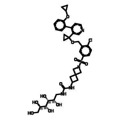 O=C(NC[C@H](O)[C@@H](O)[C@H](O)[C@H](O)CO)NC1CC2(C1)CN(S(=O)(=O)c1ccc(Cl)c(COC3(c4cnccc4-c4ccccc4OC4CC4)CC3)c1)C2